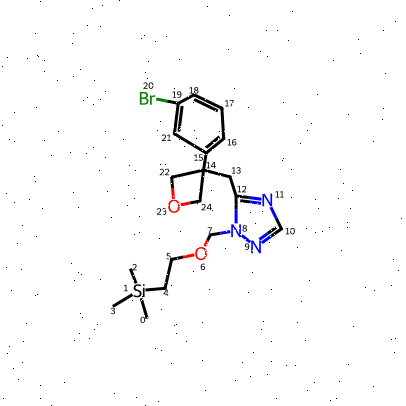 C[Si](C)(C)CCOCn1ncnc1CC1(c2cccc(Br)c2)COC1